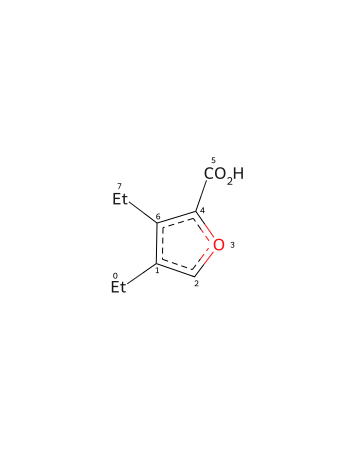 CCc1coc(C(=O)O)c1CC